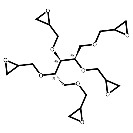 C(OC[C@H](OCC1CO1)[C@@H](OCC1CO1)[C@@H](COCC1CO1)OCC1CO1)C1CO1